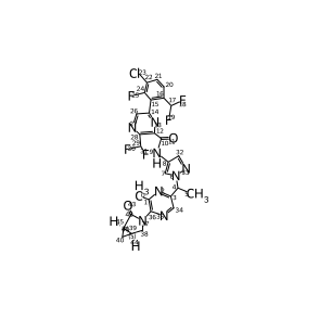 Cc1nc(C(C)n2cc(NC(=O)c3nc(-c4c(C(F)F)ccc(Cl)c4F)cnc3C(F)F)cn2)cnc1N1C[C@H]2C[C@H]2C1=O